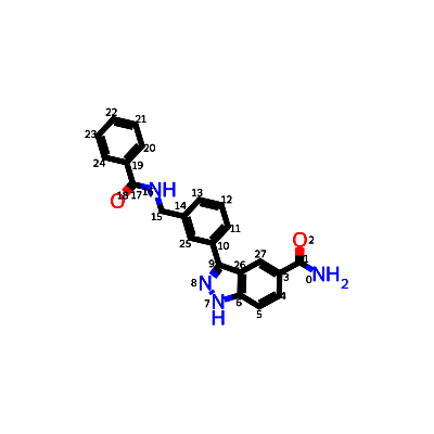 NC(=O)c1ccc2[nH]nc(-c3cccc(CNC(=O)c4ccccc4)c3)c2c1